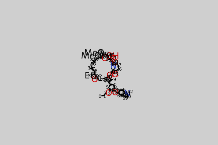 C=CCOC1CC(C=C(C)C2OC(=O)C3CCCCN3C(=O)C(=O)C3(O)OC(C(OC)CC(C)C/C(C)=C/C(CC)C(=O)CCC2C)C(OC)CC3C)CCC1Oc1ccc2c(ccn2C)c1